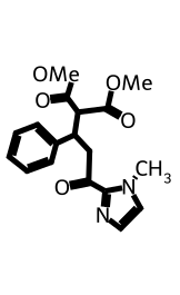 COC(=O)C(C(=O)OC)C(CC(=O)c1nccn1C)c1ccccc1